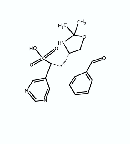 CC1(C)N[C@@H](C[C@H](c2cncnc2)S(=O)(=O)O)CO1.O=Cc1ccccc1